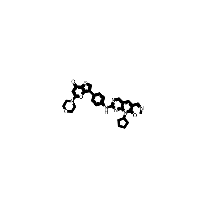 C/N=C\c1cc2cnc(Nc3ccc(-c4csc5c(=O)cc(N6CCOCC6)oc45)cc3)nc2n(C2CCCC2)c1=O